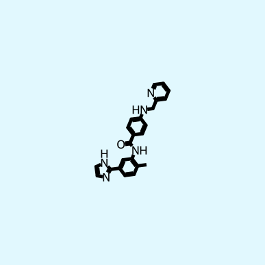 Cc1ccc(-c2ncc[nH]2)cc1NC(=O)c1ccc(NCc2ccccn2)cc1